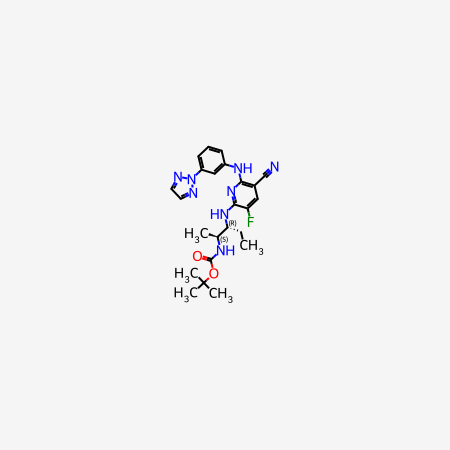 CC[C@@H](Nc1nc(Nc2cccc(-n3nccn3)c2)c(C#N)cc1F)[C@H](C)NC(=O)OC(C)(C)C